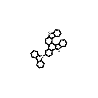 c1ccc2c(c1)sc1ccc3c4cc(-n5c6ccccc6c6ccccc65)ccc4c4sc5ccccc5c4c3c12